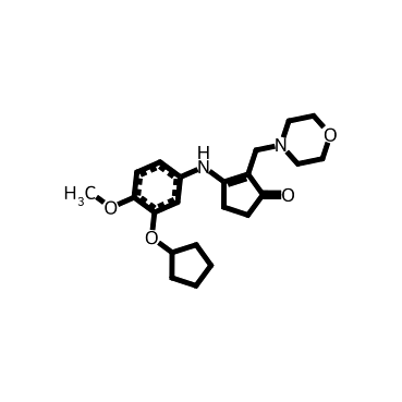 COc1ccc(NC2=C(CN3CCOCC3)C(=O)CC2)cc1OC1CCCC1